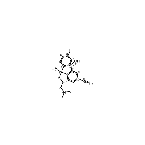 CN(C)CCC[C@](O)(c1ccc(F)cc1)c1ccc(C#N)cc1CO